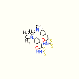 CCN(CC)c1ccc(C=C2SC(=S)NC2=O)cc1.CN(C)c1ccc(C=C2SC(=S)NC2=O)cc1